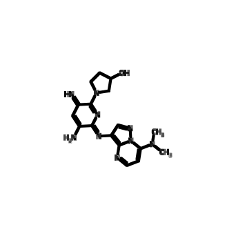 CN(C)c1ccnc2c(/N=C3\N=C(N4CCC(O)C4)C(=N)C=C3N)cnn12